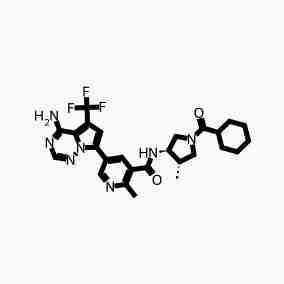 Cc1ncc(-c2cc(C(F)(F)F)c3c(N)ncnn23)cc1C(=O)N[C@@H]1CN(C(=O)C2CCCCC2)C[C@@H]1C